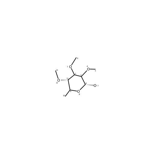 COC1C(OC)[C@H]([O])OC(C)[C@@H]1OC